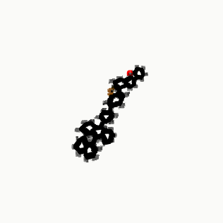 c1ccc2c(-c3c4ccccc4c(-c4ccc(-c5ccc6c(c5)sc5ccc7c(ccc8c9ccccc9oc87)c56)cc4)c4ccccc34)cccc2c1